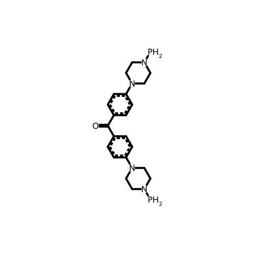 O=C(c1ccc(N2CCN(P)CC2)cc1)c1ccc(N2CCN(P)CC2)cc1